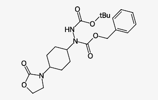 CC(C)(C)OC(=O)NN(C(=O)OCc1ccccc1)C1CCC(N2CCOC2=O)CC1